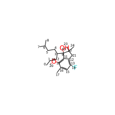 CCCC(CCC(C)C)C1(O)c2c(c(F)cc(C)c2OC)CC1(C)C